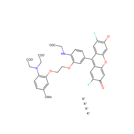 COc1ccc(N(CC(=O)[O-])CC(=O)[O-])c(OCCOc2cc(-c3c4cc(F)c(=O)cc-4oc4cc([O-])c(F)cc34)ccc2NCC(=O)[O-])c1.[K+].[K+].[K+].[K+]